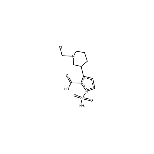 NS(=O)(=O)n1ccc(C2CCCN(CCl)C2)c1C(=O)O